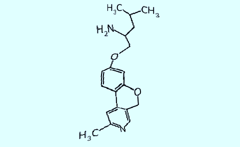 Cc1cc2c(cn1)COc1cc(OCC(N)CC(C)C)ccc1-2